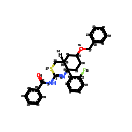 O=C(NC1=N[C@@]2(c3ccccc3F)CCC(OCc3ccccc3)C[C@H]2CS1)c1ccccc1